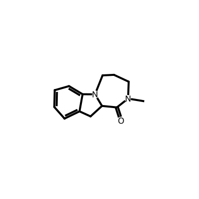 CN1CCCN2c3ccccc3CC2C1=O